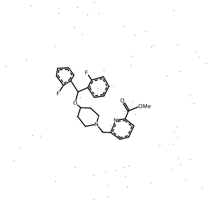 COC(=O)c1cccc(CN2CCC(OC(c3ccccc3F)c3ccccc3F)CC2)n1